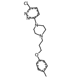 Cc1ccc(OCCCN2CCN(c3ccc(Cl)nn3)CC2)cc1